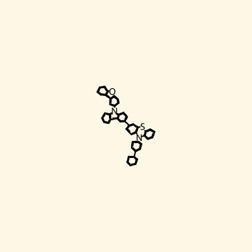 c1ccc(-c2ccc(N3c4ccccc4Sc4cc(-c5ccc6c(c5)c5ccccc5n6-c5ccc6oc7ccccc7c6c5)ccc43)cc2)cc1